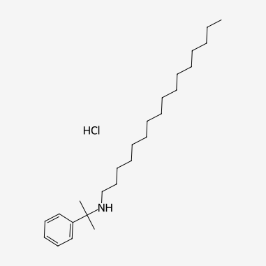 CCCCCCCCCCCCCCCCNC(C)(C)c1ccccc1.Cl